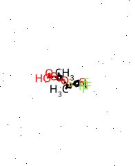 Cc1cc(OCc2sc(-c3ccc(OC(F)(F)C(F)F)cc3)cc2C)ccc1OCC(=O)O